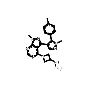 Cc1ccc(-c2c(-c3nn(C)c4ncnc(N5CC(NC(=O)O)C5)c34)cnn2C)cc1